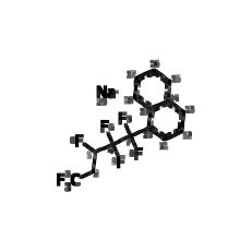 FC(CC(F)(F)F)C(F)(F)C(F)(F)c1cccc2ccccc12.[Na]